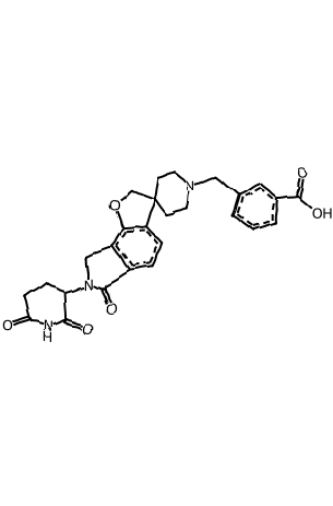 O=C1CCC(N2Cc3c(ccc4c3OCC43CCN(Cc4cccc(C(=O)O)c4)CC3)C2=O)C(=O)N1